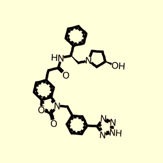 O=C(Cc1ccc2oc(=O)n(Cc3cccc(-c4nn[nH]n4)c3)c2c1)N[C@H](CN1CC[C@@H](O)C1)c1ccccc1